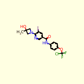 CC1(O)CN(c2ncc(C(=O)Nc3ccc(OC(F)(F)Cl)cc3)cc2I)C1